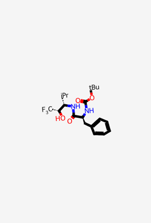 CC(C)[C@H](NC(=O)[C@H](Cc1ccccc1)NC(=O)OC(C)(C)C)[C@H](O)C(F)(F)F